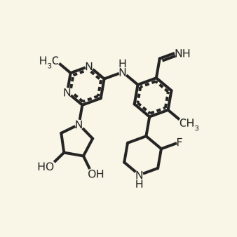 Cc1nc(Nc2cc(C3CCNCC3F)c(C)cc2C=N)cc(N2CC(O)C(O)C2)n1